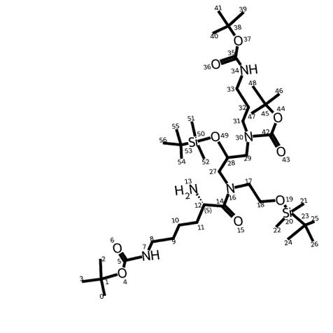 CC(C)(C)OC(=O)NCCCC[C@H](N)C(=O)N(CCO[Si](C)(C)C(C)(C)C)CC(CN(CCCNC(=O)OC(C)(C)C)C(=O)OC(C)(C)C)O[Si](C)(C)C(C)(C)C